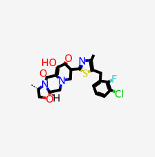 Cc1nc(C2CN3C[C@H]4OC[C@H](C)N4C(=O)C3=C(O)C2=O)sc1Cc1cccc(Cl)c1F